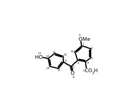 COc1ccc(C(=O)O)c(C(=O)c2ccc(O)cc2)c1